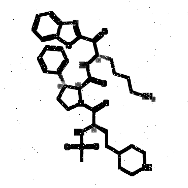 CS(=O)(=O)N[C@H](CCC1CCNCC1)C(=O)N1CC[C@H](c2ccccc2)[C@H]1C(=O)N[C@@H](CCCCN)C(=O)c1nc2ccccc2o1